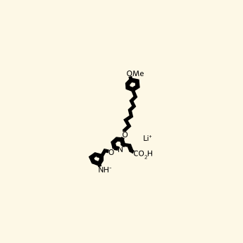 COc1ccc(CCCCCCCCOc2ccc(OCc3cccc([NH-])c3)nc2C=CC(=O)O)cc1.[Li+]